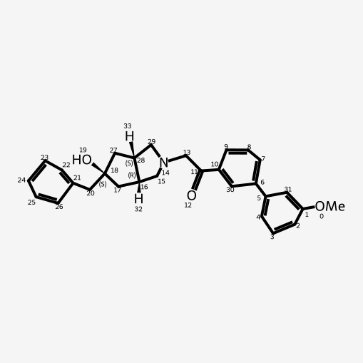 COc1cccc(-c2cccc(C(=O)CN3C[C@@H]4C[C@](O)(Cc5ccccc5)C[C@@H]4C3)c2)c1